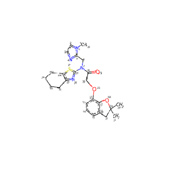 Cn1ccnc1CN(C(=O)COc1cccc2c1OC(C)(C)C2)c1nc2c(s1)CCCC2